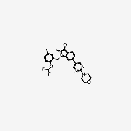 Cc1ccc(OC(F)F)c(Cn2c3cc(-c4cnc(N5CCOCC5)nc4)ccc3c(=O)n2C)c1